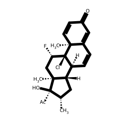 CC(=O)[C@@]1(O)[C@@H](C)C[C@H]2[C@@H]3C=CC4=CC(=O)C=C[C@]4(C)[C@@]3(Cl)[C@@H](F)C[C@@]21C